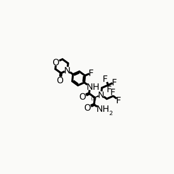 NC(=O)[C@@H](C(=O)Nc1ccc(N2CCOCC2=O)cc1F)N(CC(F)F)CC(F)(F)F